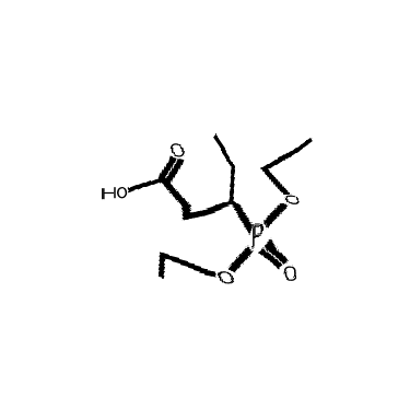 CCOP(=O)(OCC)C(CC)CC(=O)O